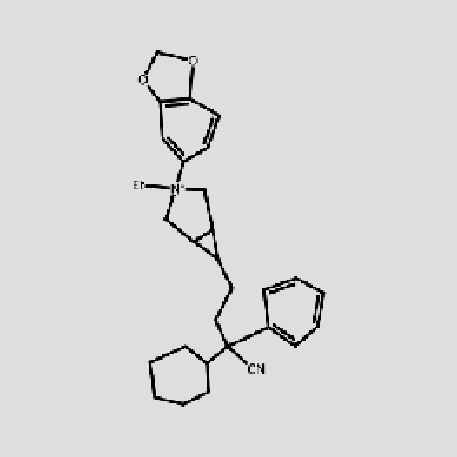 CC[N+]1(c2ccc3c(c2)OCO3)CC2C(CCC(C#N)(c3ccccc3)C3CCCCC3)C2C1